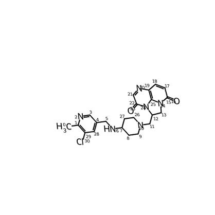 Cc1ncc(CNC2CCN(CC3Cn4c(=O)ccc5ncc(=O)n3c54)CC2)cc1Cl